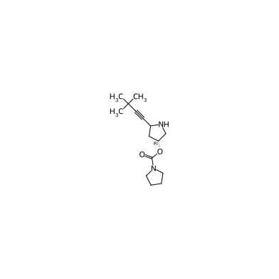 CC(C)(C)C#CC1C[C@@H](OC(=O)N2CCCC2)CN1